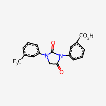 O=C(O)c1cccc(N2C(=O)CN(c3cccc(C(F)(F)F)c3)C2=O)c1